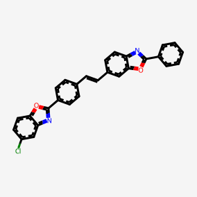 Clc1ccc2oc(-c3ccc(C=Cc4ccc5nc(-c6ccccc6)oc5c4)cc3)nc2c1